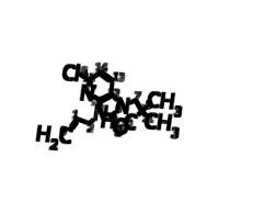 C=CCn1c(=O)n(CC(C)(C)C)c2ccc(Cl)nc21